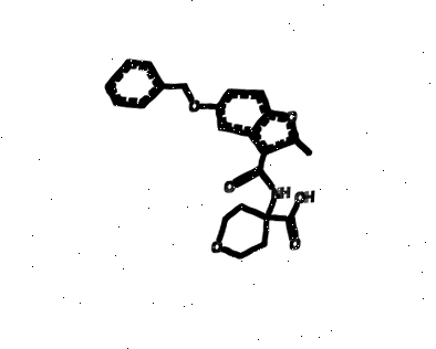 Cc1oc2ccc(OCc3ccccc3)cc2c1C(=O)NC1(C(=O)O)CCOCC1